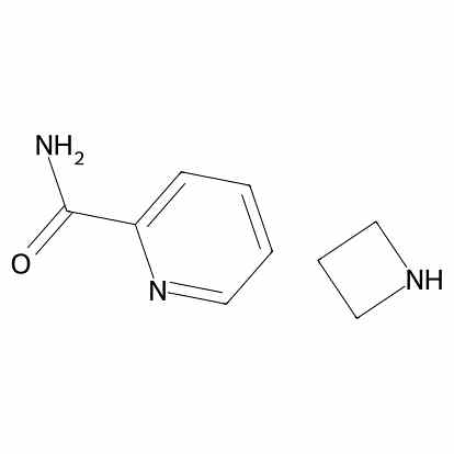 C1CNC1.NC(=O)c1ccccn1